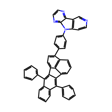 c1ccc(-c2c3c(c(-c4ccccc4)c4ccccc24)-c2ccc(-c4ccc(-n5c6ccncc6c6nccnc65)cc4)c4cccc-3c24)cc1